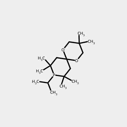 CC(C)P1C(C)(C)CC2(CC1(C)C)OCC(C)(C)CO2